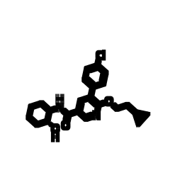 O=C(NC1CCCC[C@H]1O)c1cnc(OCCC2CC2)c(-c2ccc(Cl)cc2)c1